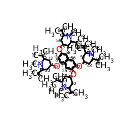 CC(C)C1CC(Oc2cc(OC3CC(C(C)C)N(C)C(C(C)C)C3)c3cc(OC4CC(C(C)C)N(C)C(C(C)C)C4)c(OC4CC(C(C)C)N(C)C(C(C)C)C4)cc3c2)CC(C(C)C)N1C